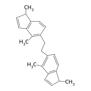 Cc1c(CCc2ccc3c(c2C)C=CC3C)ccc2c1C=CC2C